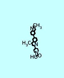 Cc1cc(C2=CCN(C(=O)O)CC2)nc2ccc(-c3ccc4nn(C)cc4c3)cc12